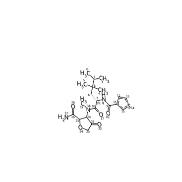 CC(C)C(C)(C)C[C@H](NC(=O)c1ccsc1)C(=O)N(C)C1C(=O)COC1C(N)=O